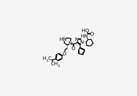 CC(C)c1ccc(OCC[C@@H]2CNCCN2C(=O)c2ncn([C@H]3CCCC[C@@H]3NC(=O)O)c2-c2ccccc2)cc1